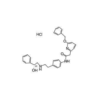 Cl.O=C(Cc1cccc(OCc2ccccc2)n1)Nc1ccc(CCNC[C@H](O)c2ccccc2)cc1